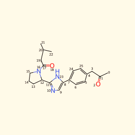 CC(=O)Cc1ccc(-c2cnc(C3CCCN3C(=O)[CH]C(C)C)[nH]2)cc1